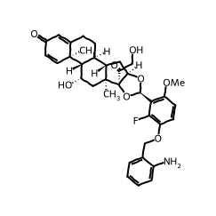 COc1ccc(OCc2ccccc2N)c(F)c1[C@@H]1O[C@@H]2C[C@H]3[C@@H]4CCC5=CC(=O)C=C[C@]5(C)[C@H]4[C@@H](O)C[C@]3(C)[C@]2(C(=O)CO)O1